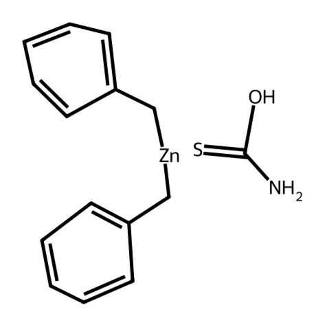 NC(O)=S.c1ccc([CH2][Zn][CH2]c2ccccc2)cc1